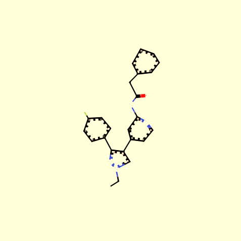 CCn1cc(-c2ccnc(NC(=O)Cc3ccccc3)c2)c(-c2ccc(F)cc2)n1